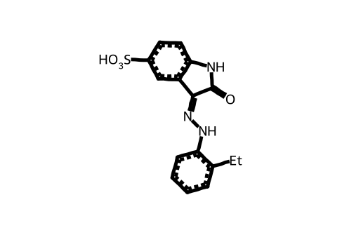 CCc1ccccc1NN=C1C(=O)Nc2ccc(S(=O)(=O)O)cc21